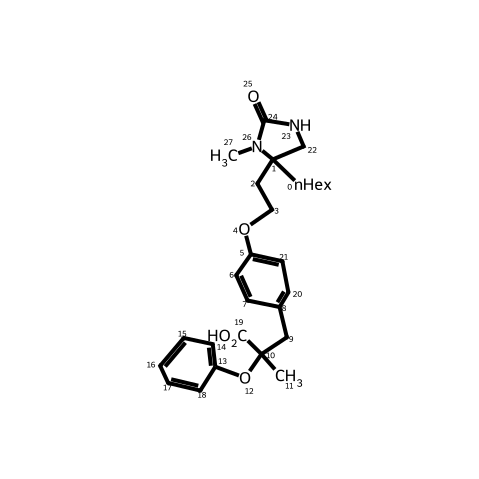 CCCCCCC1(CCOc2ccc(CC(C)(Oc3ccccc3)C(=O)O)cc2)CNC(=O)N1C